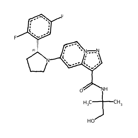 CC(C)(CO)NC(=O)c1cnn2ccc(N3CCC[C@@H]3c3cc(F)ccc3F)cc12